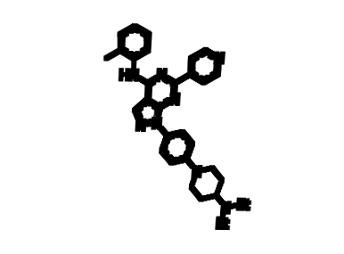 CCN(CC)C1CCN(c2ccc(-n3ncc4c(Nc5ccccc5C)nc(-c5ccncc5)nc43)cc2)CC1